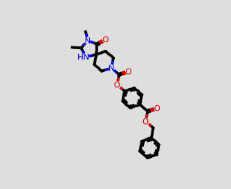 CC1NC2(CCN(C(=O)Oc3ccc(C(=O)OCc4ccccc4)cc3)CC2)C(=O)N1C